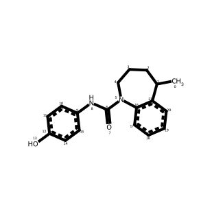 CC1CCCN(C(=O)Nc2ccc(O)cc2)c2ccccc21